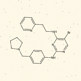 Brc1cnc(Nc2ccc(CN3CCCC3)cc2)nc1NCCc1ccccn1